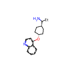 CCC(N)[C@H]1CC[C@H](Oc2ccnc3ccccc23)CC1